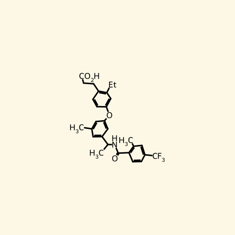 CCc1cc(Oc2cc(C)cc(C(C)NC(=O)c3ccc(C(F)(F)F)cc3C)c2)ccc1CCC(=O)O